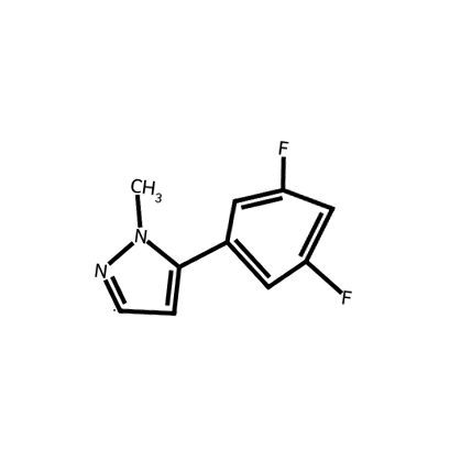 Cn1n[c]cc1-c1cc(F)cc(F)c1